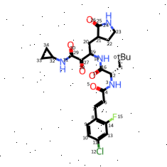 CC(C)(C)C[C@H](NC(=O)/C=C/c1ccc(Cl)cc1F)C(=O)NC(CC1CCNC1=O)C(=O)C(=O)NC1CC1